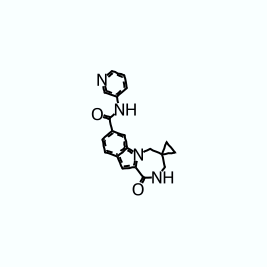 O=C(Nc1cccnc1)c1ccc2cc3n(c2c1)CC1(CC1)CNC3=O